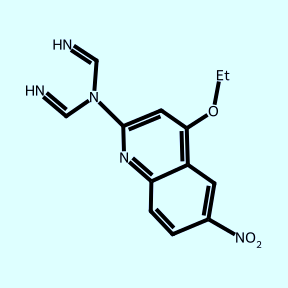 CCOc1cc(N(C=N)C=N)nc2ccc([N+](=O)[O-])cc12